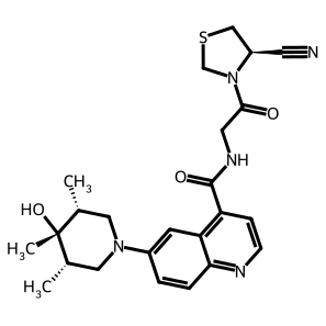 C[C@@H]1CN(c2ccc3nccc(C(=O)NCC(=O)N4CSC[C@H]4C#N)c3c2)C[C@H](C)[C@]1(C)O